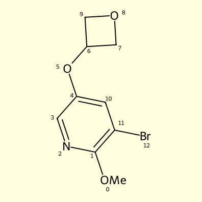 COc1ncc(OC2COC2)cc1Br